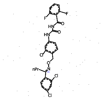 CCC/C(=N\OCc1ccc(NC(=O)NC(=O)c2c(F)cccc2F)cc1Cl)c1ccc(Cl)cc1Cl